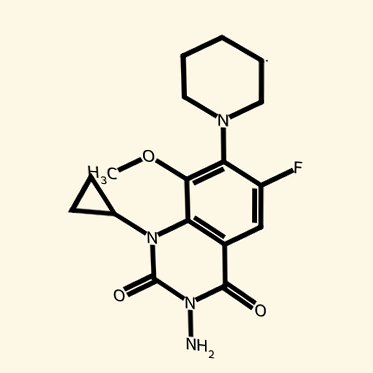 COc1c(N2C[CH]CCC2)c(F)cc2c(=O)n(N)c(=O)n(C3CC3)c12